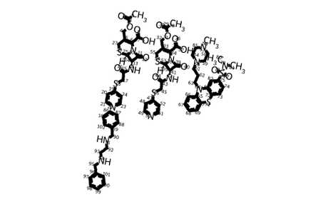 CC(=O)OCC1=C(C(=O)O)N2C(=O)[C@@H](NC(=O)CSc3ccncc3)[C@H]2SC1.CC(=O)OCC1=C(C(=O)O)N2C(=O)[C@@H](NC(=O)CSc3ccncc3)[C@H]2SC1.CN1CCN(CCCN2c3ccccc3Sc3ccc(S(=O)(=O)N(C)C)cc32)CC1.c1ccc(CNCCNCc2ccccc2)cc1